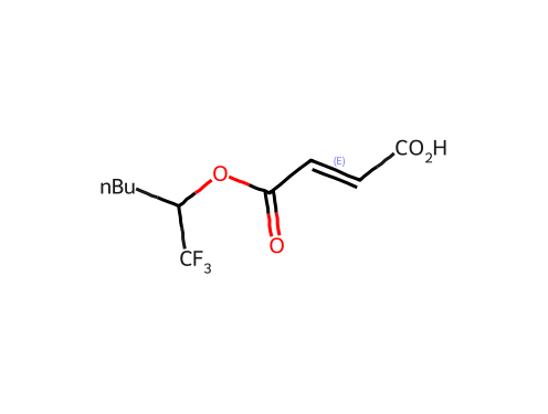 CCCCC(OC(=O)/C=C/C(=O)O)C(F)(F)F